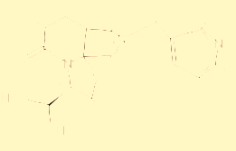 CC(C)[C@@H]1COC23CCN(Cc4cccnc4)CC2CCC(=O)N13